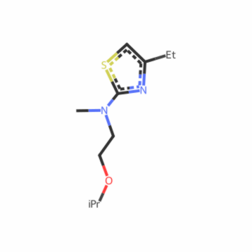 CCc1csc(N(C)CCOC(C)C)n1